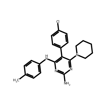 Cc1ccc(Nc2nc(N)nc(N3CCCCC3)c2-c2ccc(Cl)cc2)cc1